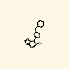 Cn1cnc2ncnc-2c1C1=NC(Cc2ccccc2)CO1